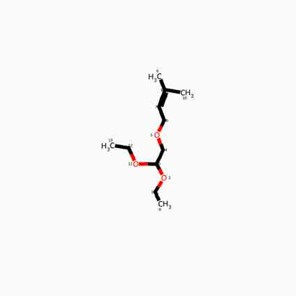 CCOC(COCC=C(C)C)OCC